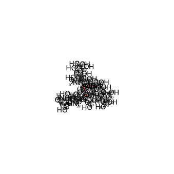 CC(=O)NC1C(O)[C@H](O[C@@H]2OC(CO)[C@H](O)[C@H](O)C2O)[C@H](CO)O[C@H]1OC1[C@@H](OCC2O[C@@H](O[C@@H]3C(CO)O[C@@H](O[C@@H]4C(CO)O[C@@H](C)C(NC(C)=O)[C@H]4O)C(NC(C)=O)[C@H]3O)C(O)[C@@H](O[C@H]3O[C@H](CO)[C@@H](O)C(O)C3O[C@@H]3OC(CO)[C@@H](O[C@@H]4OC(CO[C@]5(OC=O)C[C@@H](O)[C@@H](C)C([C@H](O)[C@H](O)CO)O5)[C@H](O)[C@H](O)C4O)[C@H](O)C3NC(C)=O)[C@@H]2O)OC(CO)[C@@H](O)[C@@H]1O